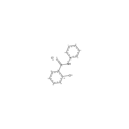 O=C(N[n+]1ccccc1)c1ccccc1Cl.[Cl-]